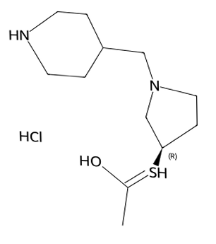 CC(O)=[SH][C@@H]1CCN(CC2CCNCC2)C1.Cl